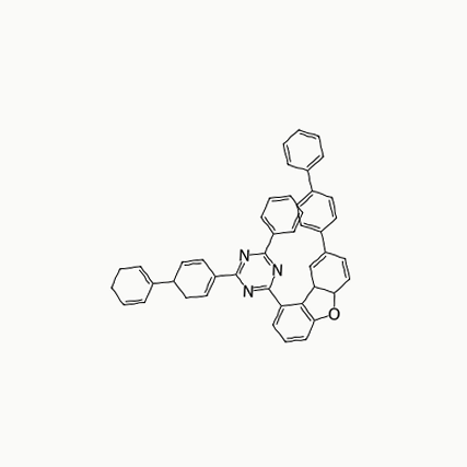 C1=CC(C2C=CC(c3nc(-c4ccccc4)nc(-c4cccc5c4C4C=C(c6ccc(-c7ccccc7)cc6)C=CC4O5)n3)=CC2)=CCC1